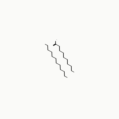 CCCCCCCCCC(=O)O.CCCCCCCCCCCC